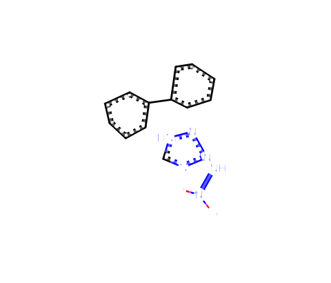 N=[N+]([O-])[O-].c1ccc(-c2ccccc2)cc1.c1nnn[nH]1